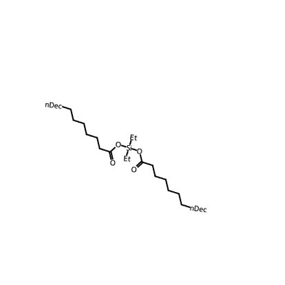 CCCCCCCCCCCCCCCCC(=O)O[Si](CC)(CC)OC(=O)CCCCCCCCCCCCCCCC